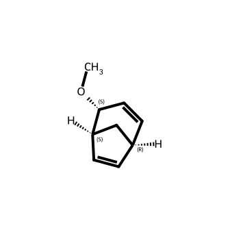 CO[C@@H]1C=C[C@H]2C=C[C@@H]1C2